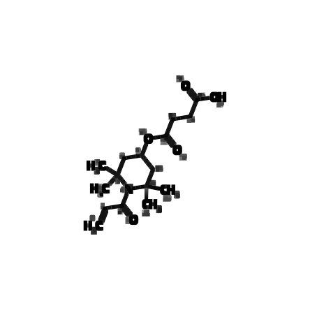 C=CC(=O)N1C(C)(C)CC(OC(=O)CCC(=O)O)CC1(C)C